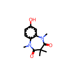 CN1C(=O)C(C)(C)C(=O)N(C)c2cc(O)ccc21